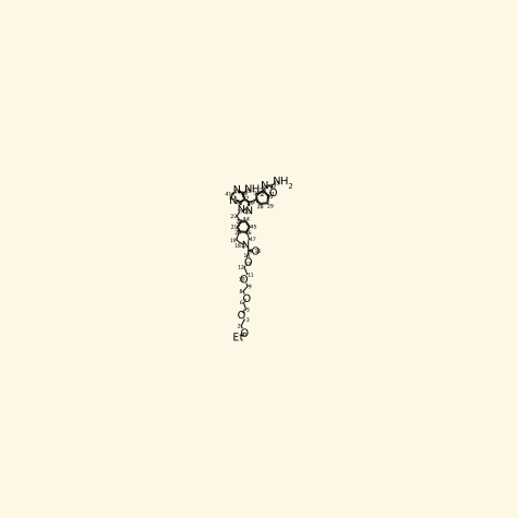 CCOCCOCCOCCOCCOCC(=O)N1CCc2cc(Cn3nc(-c4ccc5oc(N)nc5c4)c4c(N)ncnc43)ccc2C1